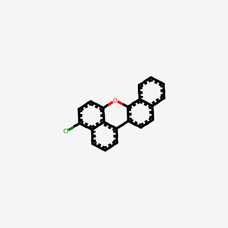 Clc1ccc2c3c(cccc13)-c1ccc3ccccc3c1O2